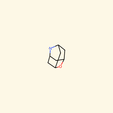 C1C2CC3CC(CC1O3)[N]2